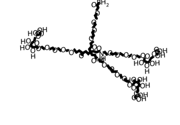 BC(=O)CCOCCOCCOCCOCCC(=O)CC(CCC(=O)CCCOCCOCCOCCOCCOC1OC(COP(=O)(O)O)C(O)C(O)C1O)(CCC(=O)NCCOCCOCCOCCOCCOC1OC(COP(=O)(O)O)C(O)C(O)C1O)CCC(=O)NCCOCCOCCOCCOCCOC1OC(COP(=O)(O)O)C(O)C(O)C1O